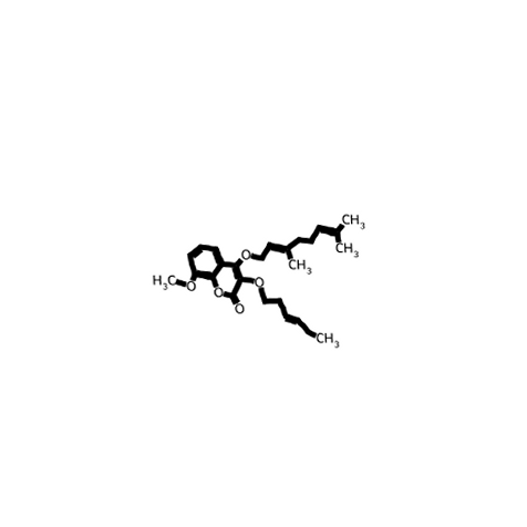 CC/C=C/CCOc1c(OC/C=C(\C)CCC=C(C)C)c2cccc(OC)c2oc1=O